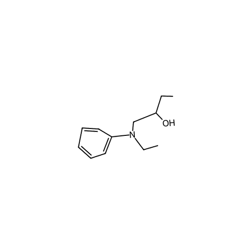 CCC(O)CN(CC)c1ccccc1